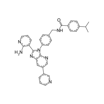 CC(C)c1ccc(C(=O)NCc2ccc(-n3c(-c4cccnc4N)nc4cc(-c5cccnc5)cnc43)cc2)cc1